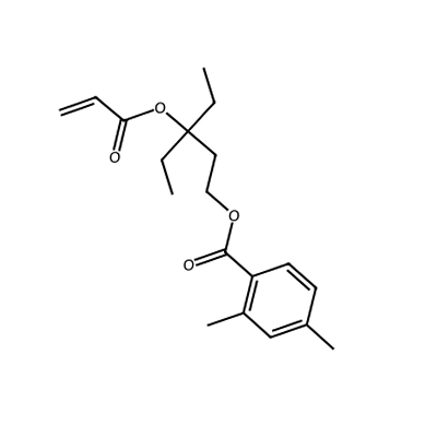 C=CC(=O)OC(CC)(CC)CCOC(=O)c1ccc(C)cc1C